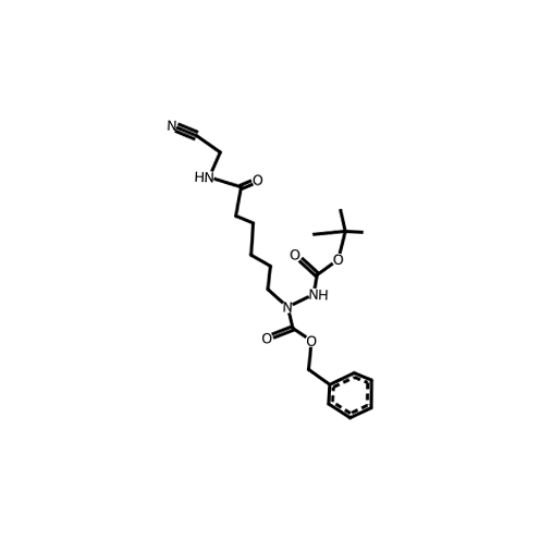 CC(C)(C)OC(=O)NN(CCCCCC(=O)NCC#N)C(=O)OCc1ccccc1